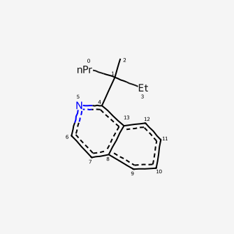 CCCC(C)(CC)c1nccc2ccccc12